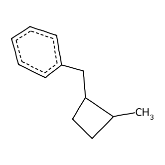 CC1CCC1Cc1ccccc1